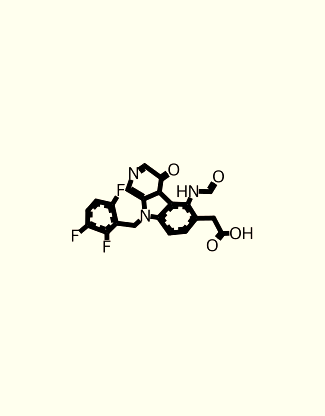 O=CNc1c(CC(=O)O)ccc2c1C1C(=O)C=NC=C1N2Cc1c(F)ccc(F)c1F